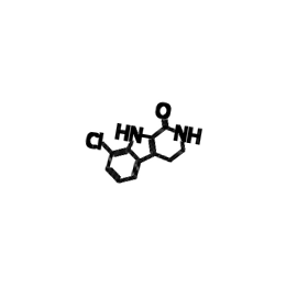 O=C1NCCc2c1[nH]c1c(Cl)cccc21